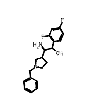 NC(C1CCN(Cc2ccccc2)C1)C(O)c1ccc(F)cc1F